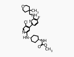 COC(=O)N[C@H]1CC[C@H](Nc2cc(-c3ccc(F)c(NCC4(C)CCOCC4)n3)c(Cl)cn2)CC1